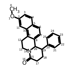 COc1ccc2ccc3c(c2c1)CCN1C(=O)CCC(c2ccccc2)C31